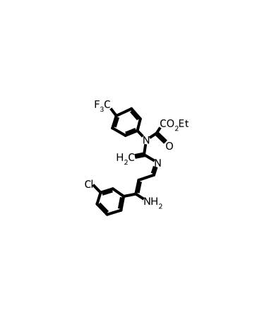 C=C(/N=C\C=C(/N)c1cccc(Cl)c1)N(C(=O)C(=O)OCC)c1ccc(C(F)(F)F)cc1